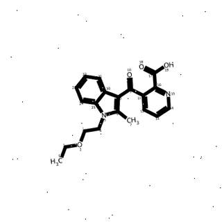 CCOCCn1c(C)c(C(=O)c2cccnc2C(=O)O)c2ccccc21